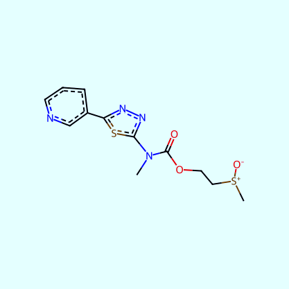 CN(C(=O)OCC[S+](C)[O-])c1nnc(-c2cccnc2)s1